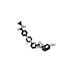 C[C@@H]1CN(c2ccc(C(=O)NC3CC3)cc2)CCN1c1cccc(C(=O)N[C@H]2C3CC4CC2C[C@](O)(C4)C3)n1